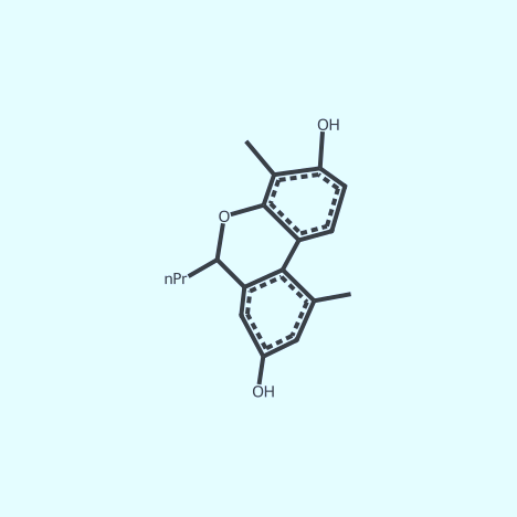 CCCC1Oc2c(ccc(O)c2C)-c2c(C)cc(O)cc21